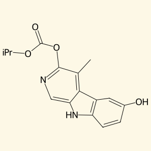 Cc1c(OC(=O)OC(C)C)ncc2[nH]c3ccc(O)cc3c12